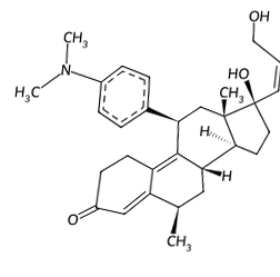 C[C@@H]1C[C@@H]2C(=C3CCC(=O)C=C31)[C@@H](c1ccc(N(C)C)cc1)C[C@@]1(C)[C@H]2CC[C@@]1(O)/C=C\CO